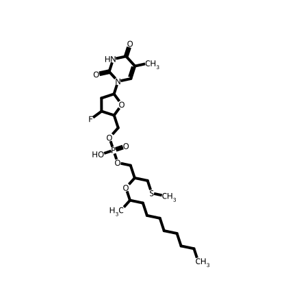 CCCCCCCCC(C)OC(COP(=O)(O)OCC1OC(n2cc(C)c(=O)[nH]c2=O)CC1F)CSC